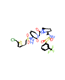 O=C1[C@@H](NS(=O)(=O)/C=C/c2ccc(Cl)s2)CCCN1CC(=O)N1CCC[C@H]1CNS(=O)(=O)c1cccc(C(F)(F)F)c1